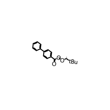 CC(C)(C)[CH]OOC(=O)c1ccc(-c2ccccc2)cc1